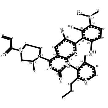 C=CC(=O)N1CCN(c2nc(=O)n(-c3c(C)ccnc3CCC)c3nc(-c4c(O)ccc([S+](C)[O-])c4F)c(F)cc23)[C@@H](C)C1